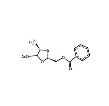 CC(=O)OC1O[C@H](COC(=O)c2ccccc2)S[C@@H]1C